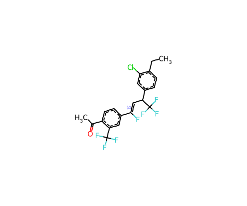 CCc1ccc(C(/C=C(\F)c2ccc(C(C)=O)c(C(F)(F)F)c2)C(F)(F)F)cc1Cl